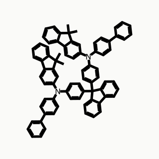 CC1(C)c2ccccc2-c2ccc(N(c3ccc(-c4ccccc4)cc3)c3ccc(C4(c5ccc(N(c6ccc(-c7ccccc7)cc6)c6ccc7c(c6)C(C)(C)c6ccccc6-7)cc5)c5ccccc5-c5ccccc54)cc3)cc21